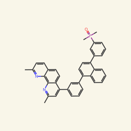 Cc1ccc2ccc3c(-c4cccc(-c5ccc(-c6cccc(P(C)(C)=O)c6)c6ccccc56)c4)cc(C)nc3c2n1